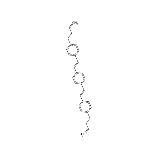 C=CCCc1ccc(C=Cc2ccc(C=Cc3ccc(CCC=C)cc3)cc2)cc1